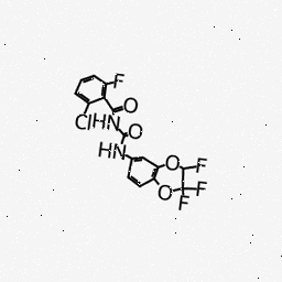 O=C(NC(=O)c1c(F)cccc1Cl)Nc1ccc2c(c1)OC(F)C(F)(F)O2